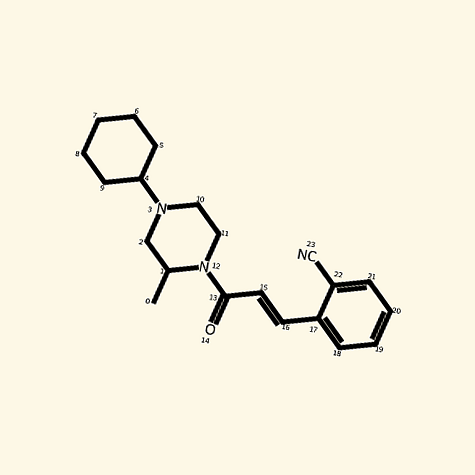 CC1CN(C2CCCCC2)CCN1C(=O)C=Cc1ccccc1C#N